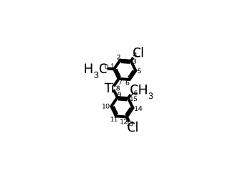 Cc1cc(Cl)cc[c]1[Ti][c]1ccc(Cl)cc1C